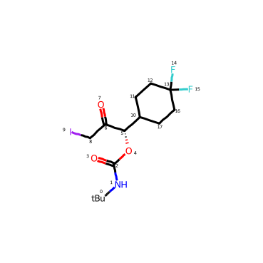 CC(C)(C)NC(=O)O[C@H](C(=O)CI)C1CCC(F)(F)CC1